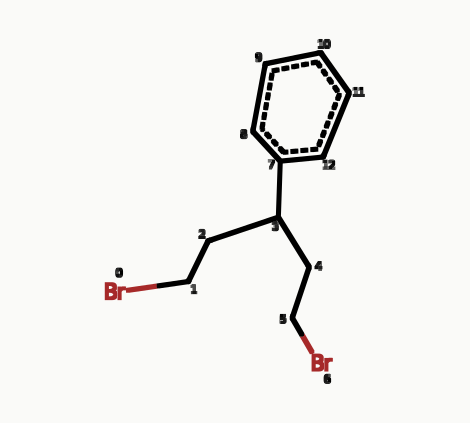 BrCCC(CCBr)c1ccccc1